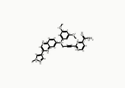 COc1cc(OC)cc(N(CC#Cc2nccc(C(N)=O)n2)c2ccc3ncc(-c4cnn(C)c4)nc3c2)c1